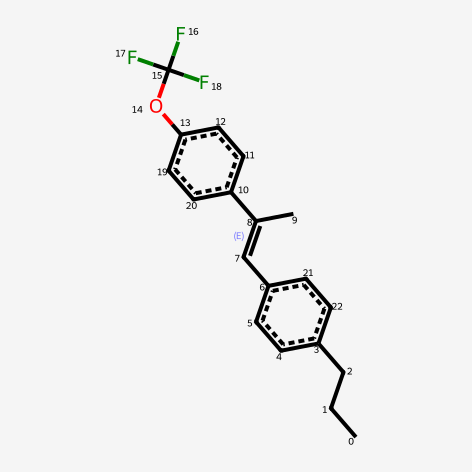 CCCc1ccc(/C=C(\C)c2ccc(OC(F)(F)F)cc2)cc1